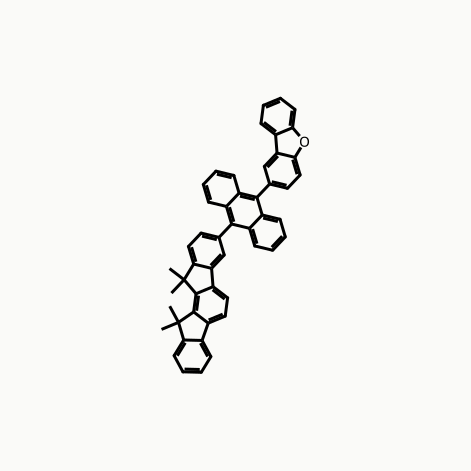 CC1(C)c2ccccc2-c2ccc3c(c21)C(C)(C)c1ccc(-c2c4ccccc4c(-c4ccc5oc6ccccc6c5c4)c4ccccc24)cc1-3